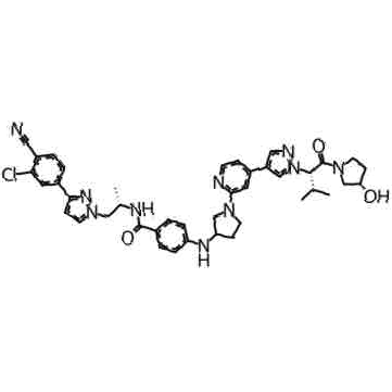 CC(C)[C@@H](C(=O)N1CC[C@@H](O)C1)n1cc(-c2ccnc(N3CCC(Nc4ccc(C(=O)N[C@@H](C)Cn5ccc(-c6ccc(C#N)c(Cl)c6)n5)cc4)C3)c2)cn1